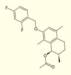 CC(=O)O[C@H]1c2c(C)c(OCc3ccc(F)cc3F)cc(C)c2CC[C@H]1C